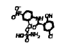 NS(=O)(=O)O.O=C(Nc1ccc([N+](=O)[O-])cc1Cl)c1cc(Cl)ccc1O